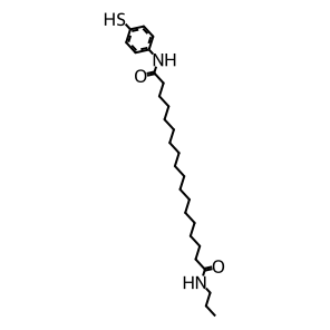 CCCNC(=O)CCCCCCCCCCCCCCCCC(=O)Nc1ccc(S)cc1